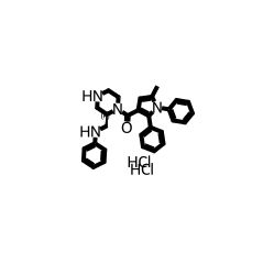 Cc1cc(C(=O)N2CCNC[C@@H]2CNc2ccccc2)c(-c2ccccc2)n1-c1ccccc1.Cl.Cl